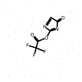 O=C1C=NC(OC(=O)C(F)(F)F)=N1